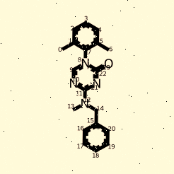 Cc1cccc(C)c1-n1cnc(N(C)Cc2ccccc2)nc1=O